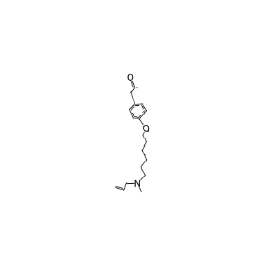 C=CCN(C)CCCCCCOc1ccc(C[C]=O)cc1